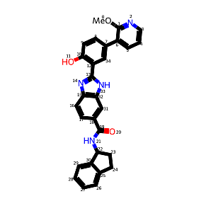 COc1ncccc1-c1ccc(O)c(-c2nc3ccc(C(=O)NC4CCc5ccccc54)cc3[nH]2)c1